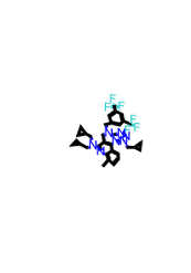 Cc1cccc2cc(CN(Cc3cc(C(F)(F)F)cc(C(F)(F)F)c3)c3nnn(CC4CC4)n3)c(N(CC3CC3)CC3CC3)nc12